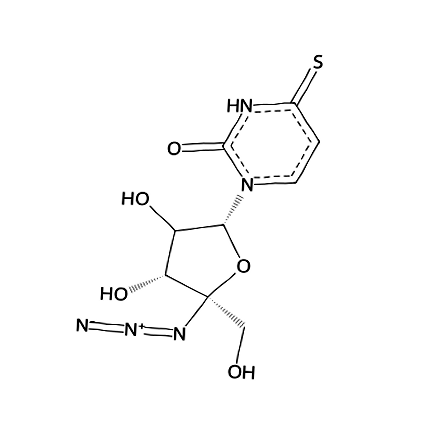 [N-]=[N+]=N[C@]1(CO)O[C@@H](n2ccc(=S)[nH]c2=O)C(O)[C@H]1O